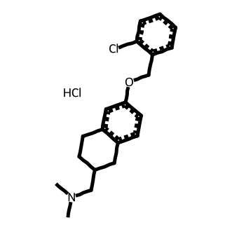 CN(C)CC1CCc2cc(OCc3ccccc3Cl)ccc2C1.Cl